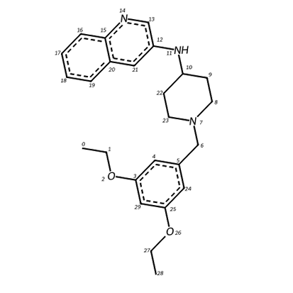 CCOc1cc(CN2CCC(Nc3cnc4ccccc4c3)CC2)cc(OCC)c1